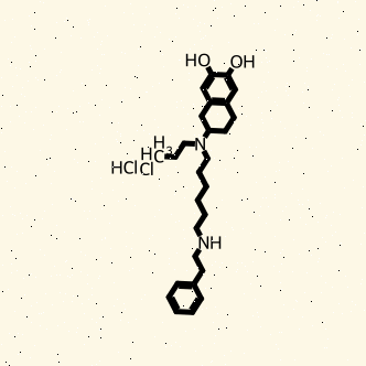 CCCN(CCCCCCNCCc1ccccc1)C1CCc2cc(O)c(O)cc2C1.Cl.Cl